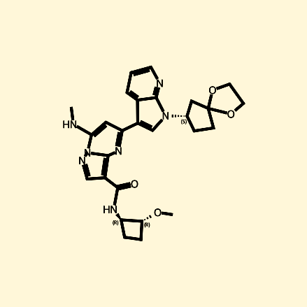 CNc1cc(-c2cn([C@H]3CCC4(C3)OCCO4)c3ncccc23)nc2c(C(=O)N[C@@H]3CC[C@H]3OC)cnn12